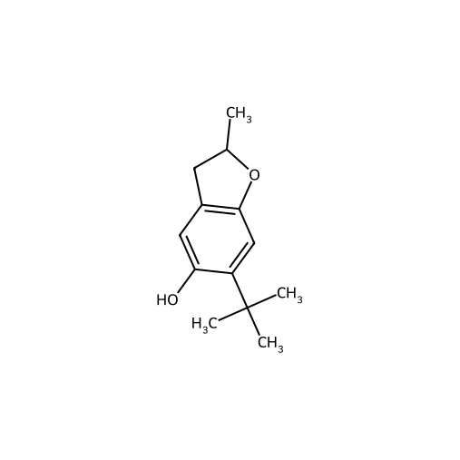 CC1Cc2cc(O)c(C(C)(C)C)cc2O1